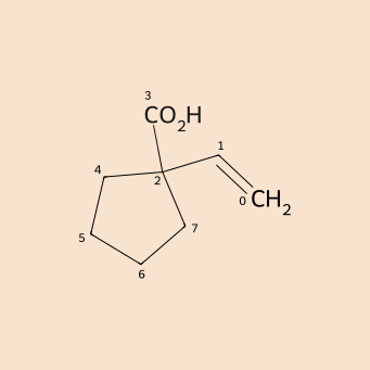 C=CC1(C(=O)O)CCCC1